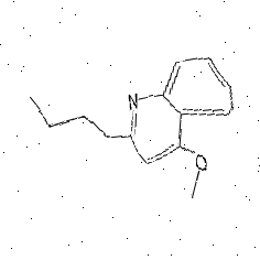 CCCCc1cc(OC)c2ccccc2n1